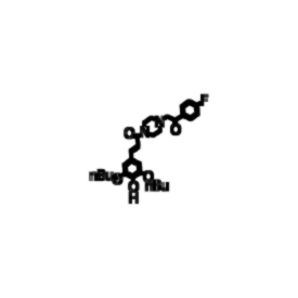 CCCCOc1cc(C=CC(=O)N2CCN(CC(=O)c3ccc(F)cc3)CC2)cc(OCCCC)c1O